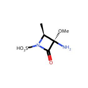 CO[C@]1(N)C(=O)N(S(=O)(=O)O)[C@H]1C